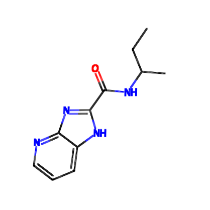 CCC(C)NC(=O)c1nc2ncccc2[nH]1